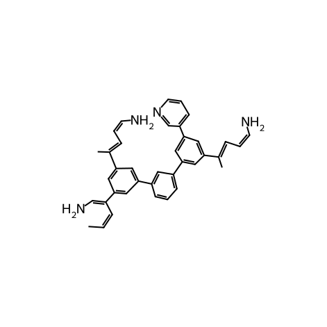 C/C=C\C(=C/N)c1cc(/C(C)=C/C=C\N)cc(-c2cccc(-c3cc(/C(C)=C/C=C\N)cc(-c4cccnc4)c3)c2)c1